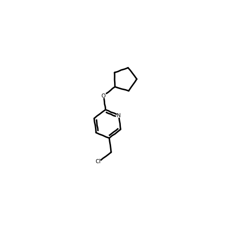 ClCc1ccc(OC2CCCC2)nc1